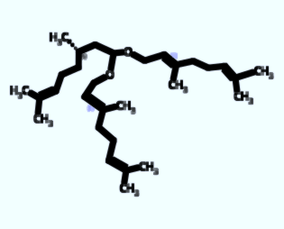 CC(C)=CCC/C(C)=C/COC(C[C@@H](C)CCC=C(C)C)OC/C=C(\C)CCC=C(C)C